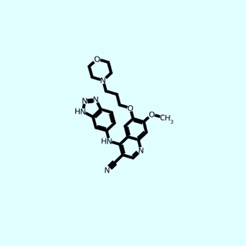 COc1cc2ncc(C#N)c(Nc3ccc4nn[nH]c4c3)c2cc1OCCCN1CCOCC1